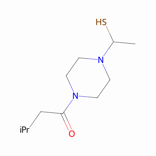 CC(C)CC(=O)N1CCN(C(C)S)CC1